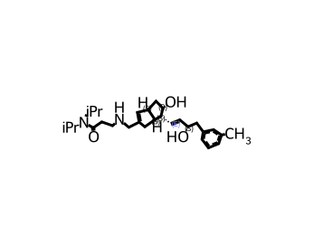 Cc1cccc(C[C@H](O)/C=C/[C@@H]2[C@H]3CC(CNCCC(=O)N(C(C)C)C(C)C)=C[C@H]3C[C@H]2O)c1